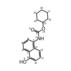 O=C(Nc1cccc2c(O)cccc12)OC1CCCCC1